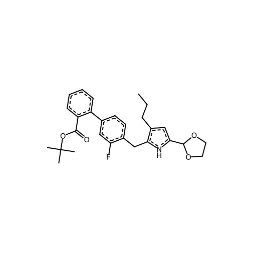 CCCc1cc(C2OCCO2)[nH]c1Cc1ccc(-c2ccccc2C(=O)OC(C)(C)C)cc1F